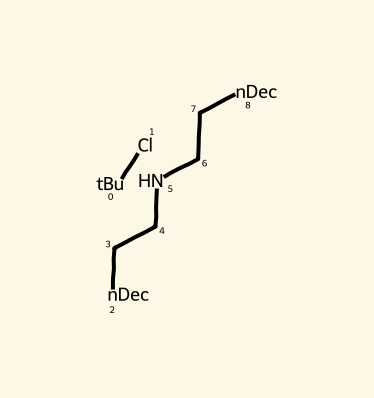 CC(C)(C)Cl.CCCCCCCCCCCCNCCCCCCCCCCCC